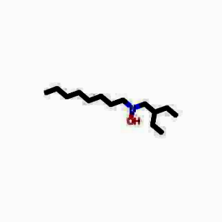 CCCCCCCCN(O)CC(CC)CC